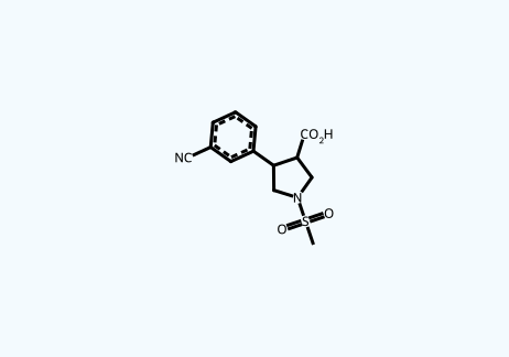 CS(=O)(=O)N1CC(C(=O)O)C(c2cccc(C#N)c2)C1